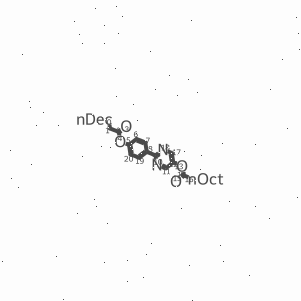 CCCCCCCCCCCC(=O)Oc1ccc(-c2ncc(OC(=O)CCCCCCCC)cn2)cc1